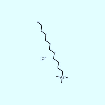 CCCCCCCCCCCC[As+](C)(C)C.[Cl-]